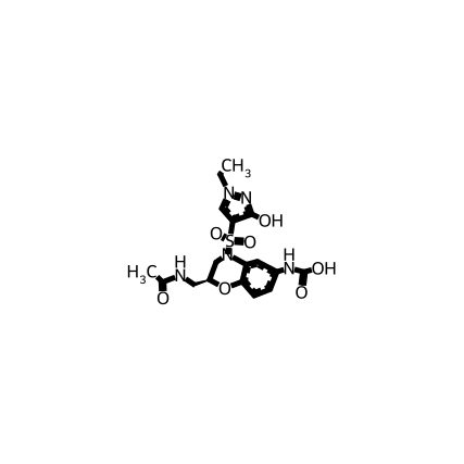 CCn1cc(S(=O)(=O)N2C[C@H](CNC(C)=O)Oc3ccc(NC(=O)O)cc32)c(O)n1